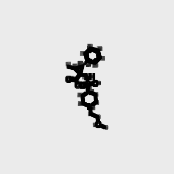 COCCN1CCN(S(=O)(=O)N[C@@]2(C(=O)O)C(C)[C@@H]2c2ccccc2)CC1